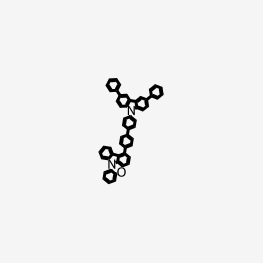 c1ccc(-c2ccc3c(c2)c2cc(-c4ccccc4)ccc2n3-c2ccc(-c3ccc(-c4ccc5c6c4c4ccccc4n6-c4ccccc4O5)cc3)cc2)cc1